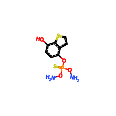 NOP(=S)(ON)Oc1ccc(O)c2sccc12